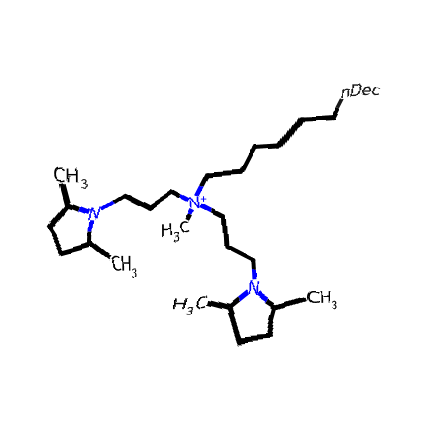 CCCCCCCCCCCCCCCC[N+](C)(CCCN1C(C)CCC1C)CCCN1C(C)CCC1C